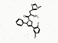 Cn1cnc(CC(N)C(=O)N2CC(c3cc(F)ccc3F)=CC2c2ccccc2)c1